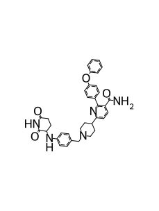 NC(=O)c1ccc(C2CCN(Cc3ccc(NC4CCC(=O)NC4=O)cc3)CC2)nc1-c1ccc(Oc2ccccc2)cc1